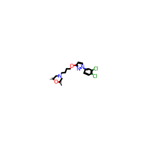 C[C@@H]1CN(CCCCOc2ccn(-c3ccc(Cl)c(Cl)c3)n2)C[C@@H](C)O1